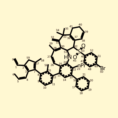 C=CC1=C(/C=C\C)C(c2cccc(-c3cc(-c4ccccc4)c(CCC)c4c3/C=C\C(C)=C3\C(=C)C(C)(C)C5=C(C=CCC5)C(S(=O)(=O)c5ccc(Br)cc5)C3N4)c2C)=C(C)C1